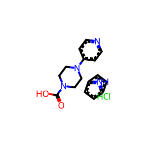 Cl.O=C(O)N1CCN(c2ccncc2)CC1.c1cc2ccc1[nH]2